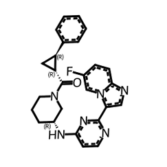 O=C([C@@H]1C[C@H]1c1ccccc1)N1CCC[C@@H](Nc2ccnc(-c3cnc4ccc(F)cn34)n2)C1